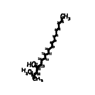 CCCCCCCCCCCCCCCCC(O)CN(C)C